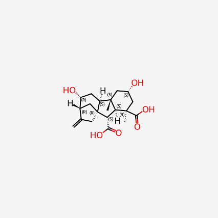 C=C1C[C@]23C[C@H]1[C@H](O)C[C@H]2[C@]1(C)C[C@H](O)C[C@@](C)(C(=O)O)[C@H]1[C@@H]3C(=O)O